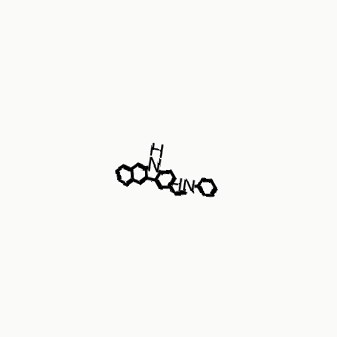 C(=C/c1ccc2[nH]c3cc4ccccc4cc3c2c1)/Nc1ccccc1